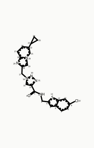 O=C(NCc1cc2ccc(Cl)cc2s1)c1cn(Cc2cn3cc(C4CC4)ccc3n2)nn1